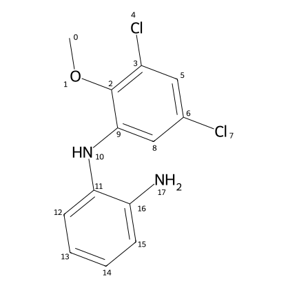 COc1c(Cl)cc(Cl)cc1Nc1ccccc1N